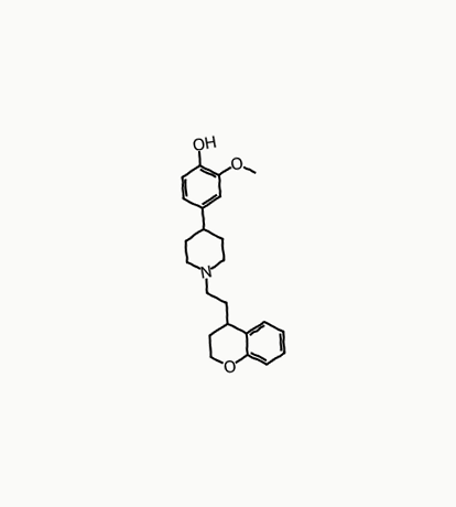 COc1cc(C2CCN(CCC3CCOc4ccccc43)CC2)ccc1O